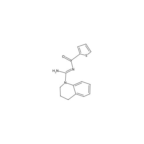 NC(=NC(=O)c1cccs1)N1CCCc2ccccc21